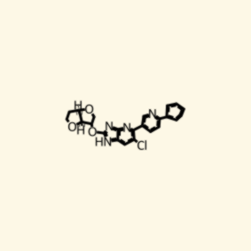 Clc1cc2[nH]c(OC3CO[C@@H]4CCO[C@H]34)nc2nc1-c1ccc(-c2ccccc2)nc1